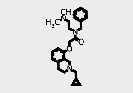 CN(C)CCN(Cc1ccccc1)C(=O)COc1cccc2c1CN(CC1CC1)CC2